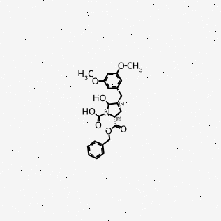 COc1cc(C[C@H]2C[C@H](C(=O)OCc3ccccc3)N(C(=O)O)C2O)cc(OC)c1